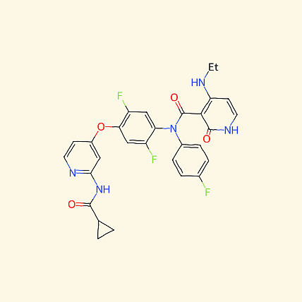 CCNc1cc[nH]c(=O)c1C(=O)N(c1ccc(F)cc1)c1cc(F)c(Oc2ccnc(NC(=O)C3CC3)c2)cc1F